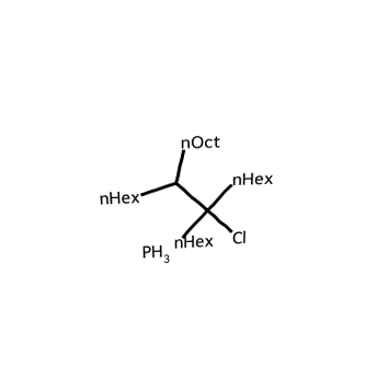 CCCCCCCCC(CCCCCC)C(Cl)(CCCCCC)CCCCCC.P